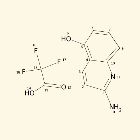 Nc1ccc2c(O)cccc2n1.O=C(O)C(F)(F)F